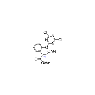 CO/C=C(/C(=O)OC)c1ccccc1Oc1nc(Cl)nc(Cl)n1